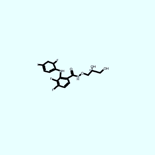 O=C(NOC[C@H](O)CO)c1ccc(F)c(F)c1NC1=CC=C(I)CC1F